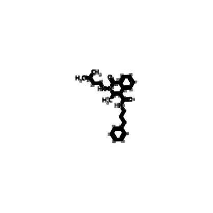 Cc1c(C(=O)NCCCc2ccccc2)c2ccccc2c(=O)n1NCCC(C)C